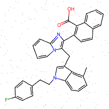 Cc1cccc2c1c(Cc1c(-c3ccc4ccccc4c3C(=O)O)nc3ccccn13)cn2CCc1ccc(F)cc1